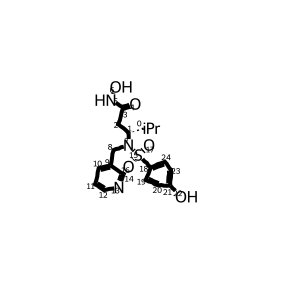 CC(C)[C@@H](CC(=O)NO)N(Cc1cccnc1)S(=O)(=O)c1ccc(O)cc1